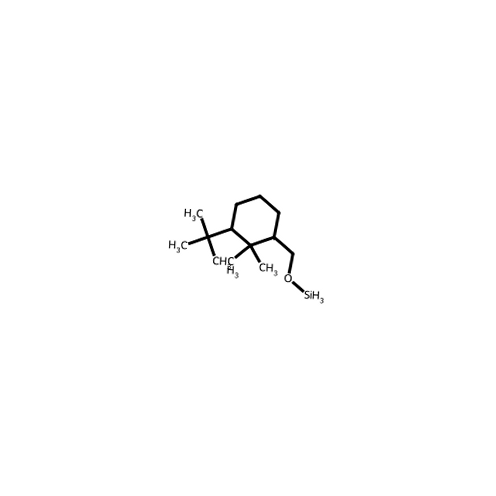 CC(C)(C)C1CCC[C](CO[SiH3])C1(C)C